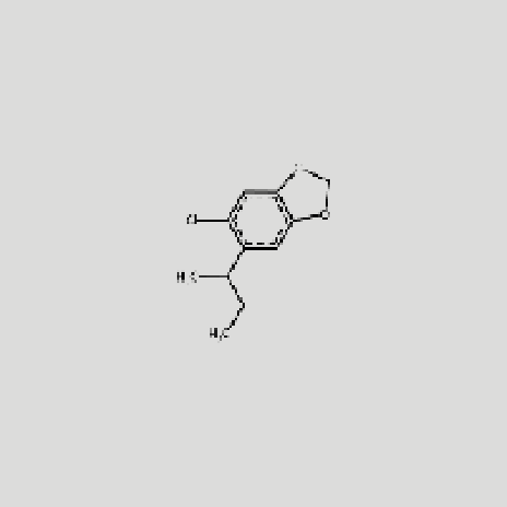 CCC(C)c1cc2c(cc1Cl)OCO2